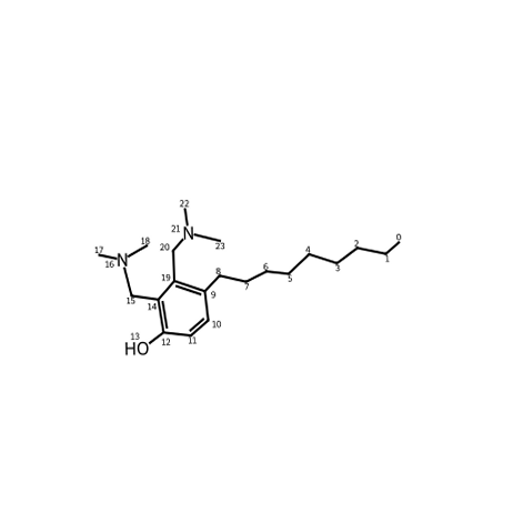 CCCCCCCCCc1ccc(O)c(CN(C)C)c1CN(C)C